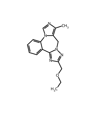 CCOCc1nc2n(n1)Cc1c(C)ncn1-c1ccccc1-2